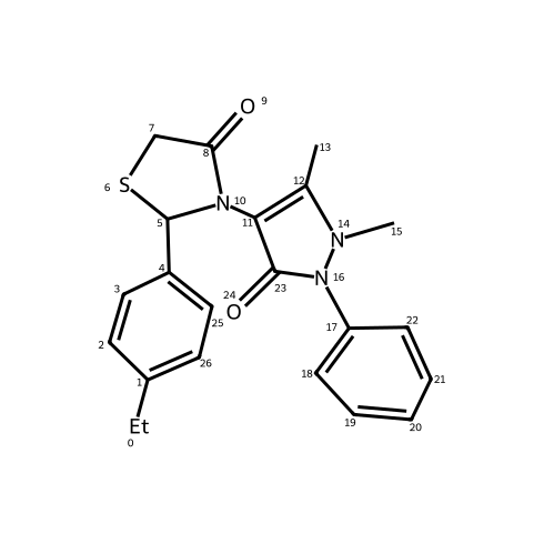 CCc1ccc(C2SCC(=O)N2c2c(C)n(C)n(-c3ccccc3)c2=O)cc1